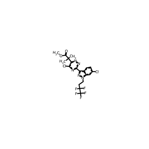 COC(=O)C(C)(C)c1nnc(-c2nn(CCC(F)(F)C(F)(F)F)c3cc(Cl)ccc23)nc1Cl